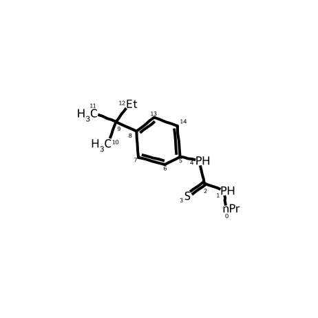 CCCPC(=S)Pc1ccc(C(C)(C)CC)cc1